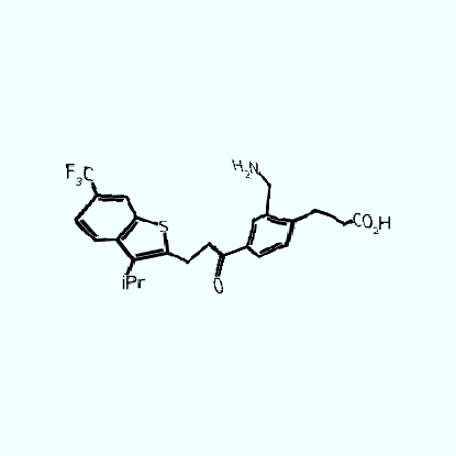 CC(C)c1c(CCC(=O)c2ccc(CCC(=O)O)c(CN)c2)sc2cc(C(F)(F)F)ccc12